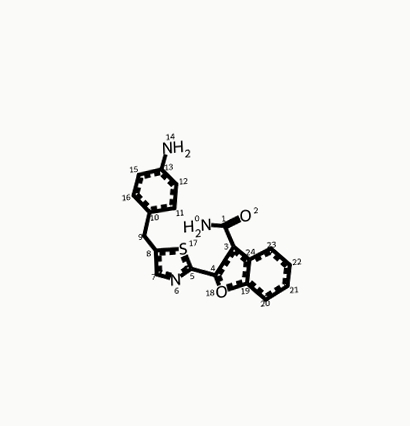 NC(=O)c1c(-c2ncc(Cc3ccc(N)cc3)s2)oc2ccccc12